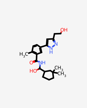 Cc1ccc(-c2cc(CCO)n[nH]2)cc1C(=O)NC(O)C1CCCC(C)(C)C1